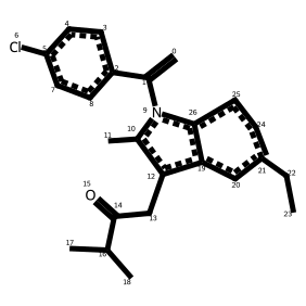 C=C(c1ccc(Cl)cc1)n1c(C)c(CC(=O)C(C)C)c2cc(CC)ccc21